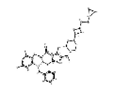 Cc1cc(C)c(CN2CCc3sc(C(C)[C@H]4CC[C@H](N5CC(OCC6CC6)C5)CC4)c(C)c3C2=O)c(OCc2ccccc2)n1